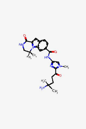 Cn1cc(NC(=O)c2ccc3cc4n(c3c2)C(C)(C)CNC4=O)nc1C(=O)CCC(C)(C)N